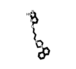 c1ccc2c(N3CCN(CCCCOc4ccc5cn[nH]c5n4)CC3)cccc2c1